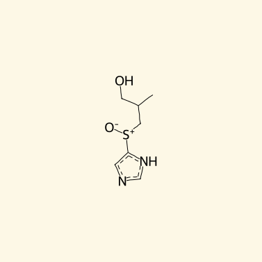 CC(CO)C[S+]([O-])c1cnc[nH]1